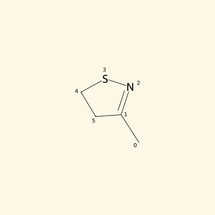 CC1=NSCC1